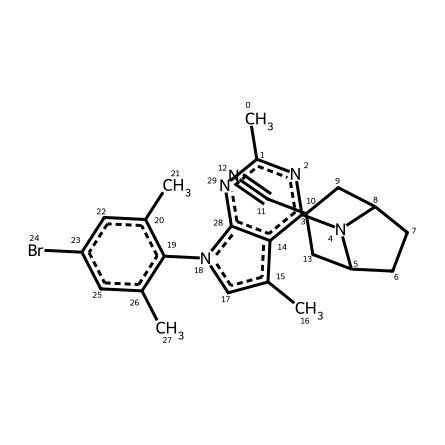 Cc1nc(N2C3CCC2CC(C#N)C3)c2c(C)cn(-c3c(C)cc(Br)cc3C)c2n1